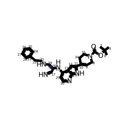 CC(C)(C)OC(=O)N1CC=C(c2cc3c(N/C(C=N)=C/NCCc4ccccc4)ccnc3[nH]2)CC1